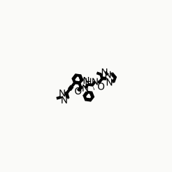 Cc1nn2cccnc2c1C(=O)N[C@H](C)c1nc2cccc(C#Cc3cnc(C)n3C)c2c(=O)n1-c1ccccc1